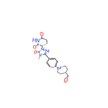 Cn1c(-c2ccc(N3CCC(C=O)CC3)cc2)nn([C@@H]2CCC(=O)NC2=O)c1=O